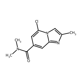 Cc1cn2c(Cl)cc(C(=O)N(C)C)cc2n1